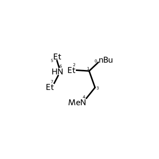 CCCCC(CC)CNC.CCNCC